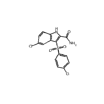 NC(=O)c1[nH]c2ccc(Cl)cc2c1S(=O)(=O)c1ccc(Cl)cc1